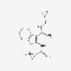 C=C(NCC1CC1)c1c(NC(=C)C2CC2(F)F)sc2c1CCCC2